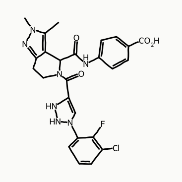 Cc1c2c(nn1C)CCN(C(=O)C1=CN(c3cccc(Cl)c3F)NN1)C2C(=O)Nc1ccc(C(=O)O)cc1